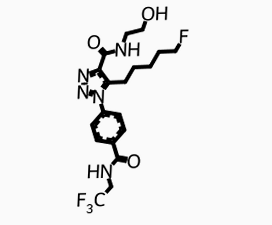 O=C(NCC(F)(F)F)c1ccc(-n2nnc(C(=O)NCCO)c2CCCCCF)cc1